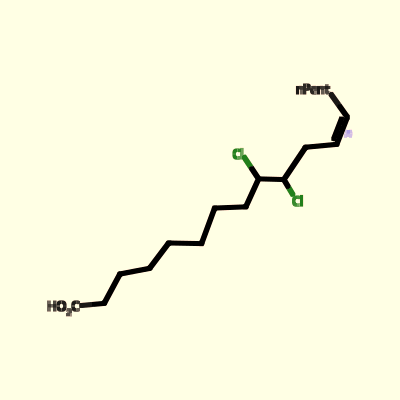 CCCCC/C=C\CC(Cl)C(Cl)CCCCCCCC(=O)O